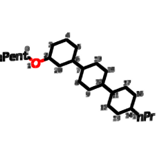 CCCCCOC1CCCC(C2CCC(C3CCC(CCC)CC3)CC2)C1